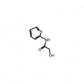 O=C(CO)Nc1ccccn1